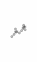 c1ccc(-c2ccc(-c3cc(-c4cccc(-c5ccc(-c6nc7c(nc8ccccn87)c7ccccc67)cc5)c4)nc(-c4ccccc4)n3)cc2)cc1